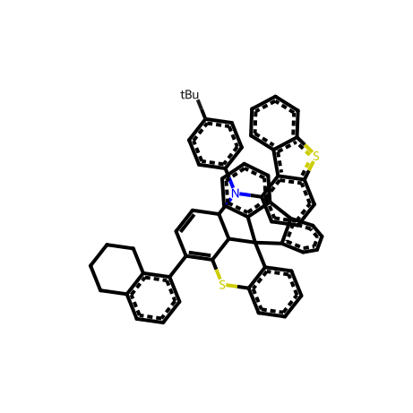 CC(C)(C)c1ccc(N(c2cccc3sc4ccccc4c23)C2C=CC(c3cccc4c3CCCC4)=C3Sc4ccccc4C4(c5ccccc5-c5ccccc54)C32)cc1